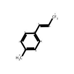 Cc1ccc(C=CC(F)(F)F)cc1